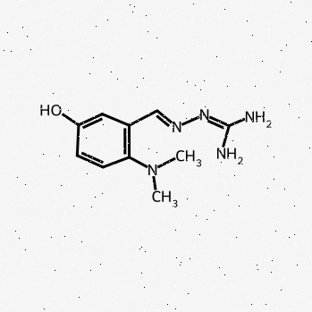 CN(C)c1ccc(O)cc1C=NN=C(N)N